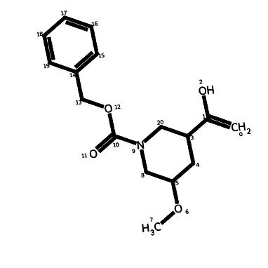 C=C(O)C1CC(OC)CN(C(=O)OCc2ccccc2)C1